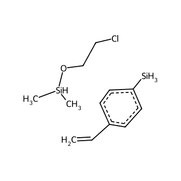 C=Cc1ccc([SiH3])cc1.C[SiH](C)OCCCl